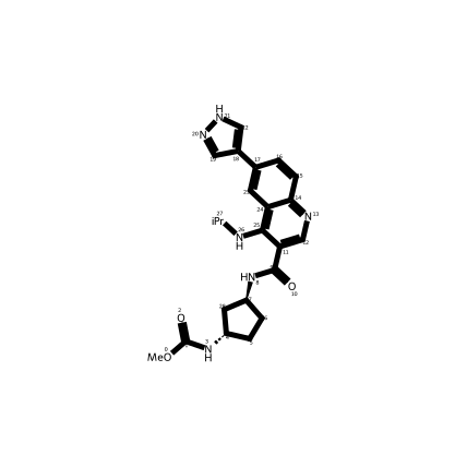 COC(=O)N[C@H]1CC[C@H](NC(=O)c2cnc3ccc(-c4cn[nH]c4)cc3c2NC(C)C)C1